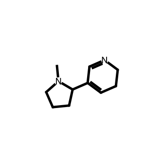 CN1CCCC1C1=CCCN=C1